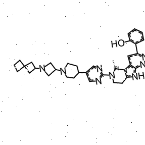 C[C@@H]1c2c([nH]c3nnc(-c4ccccc4O)cc23)CCN1c1ncc(C2CCN(C3CN(C4CC5(CCC5)C4)C3)CC2)cn1